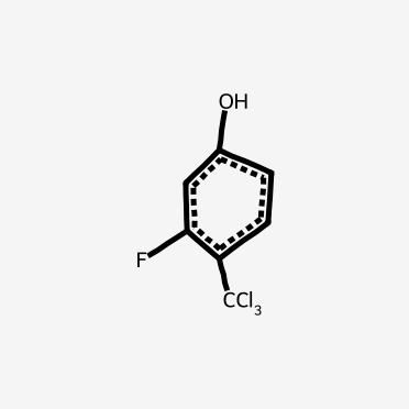 Oc1ccc(C(Cl)(Cl)Cl)c(F)c1